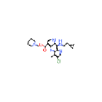 Cc1c(Cl)cnc2c(NCCC3CC3)c3nccc(C(=O)OCN4CCCCC4)c3nc12